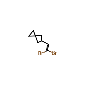 BrC(Br)=CC1CC2(CC2)C1